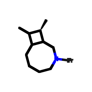 CC1C2CCCCN(C(C)C)CC2[C@H]1C